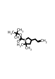 C=CCC1CN(C(=O)OC(C)(C)C)C(C)(C)C1